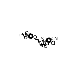 Cc1c(N2C(=O)C(C)(C)N(CCCOc3ccc(S(=O)(=O)C(C)C)cc3)C2=S)ccc(C#N)c1Cl